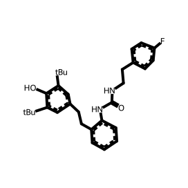 CC(C)(C)c1cc(CCc2ccccc2NC(=O)NCCc2ccc(F)cc2)cc(C(C)(C)C)c1O